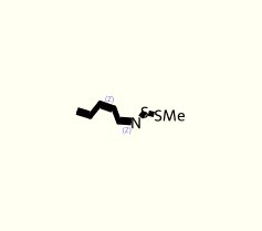 C=C/C=C\C=N/SSC